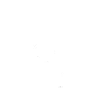 C=CC(=O)OCCOC(Br)(Br)C(Br)Oc1ccccc1